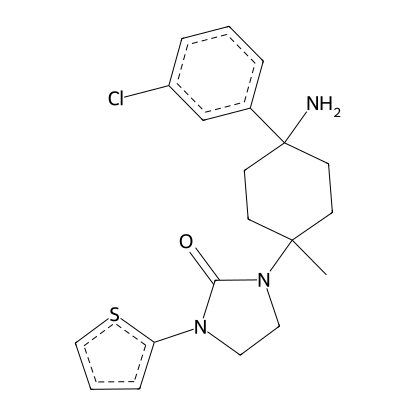 CC1(N2CCN(c3cccs3)C2=O)CCC(N)(c2cccc(Cl)c2)CC1